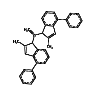 [CH2]=[Zr]([CH]1C(C)=Cc2c(-c3ccccc3)cccc21)[CH]1C(C)=Cc2c(-c3ccccc3)cccc21